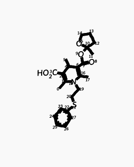 CC1=C(C(=O)O)C(C)C(C(=O)OC2(C)CCCO2)=C(C)N1CCSc1ccccc1